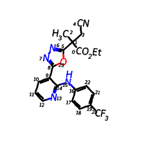 CCOC(=O)C(C)(CC#N)c1nnc(-c2cccnc2Nc2ccc(C(F)(F)F)cc2)o1